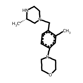 Cc1cc(N2CCOCC2)ccc1CN1CCN[C@@H](C)C1